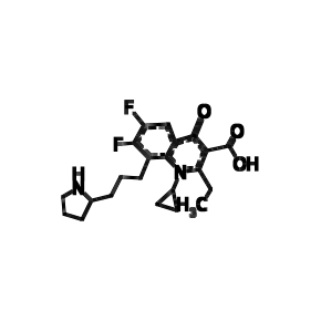 CCc1c(C(=O)O)c(=O)c2cc(F)c(F)c(CCCC3CCCN3)c2n1C1CC1